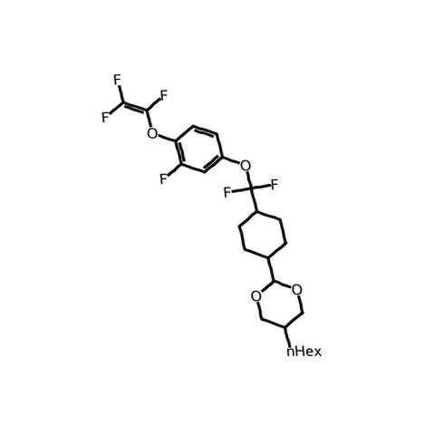 CCCCCCC1COC(C2CCC(C(F)(F)Oc3ccc(OC(F)=C(F)F)c(F)c3)CC2)OC1